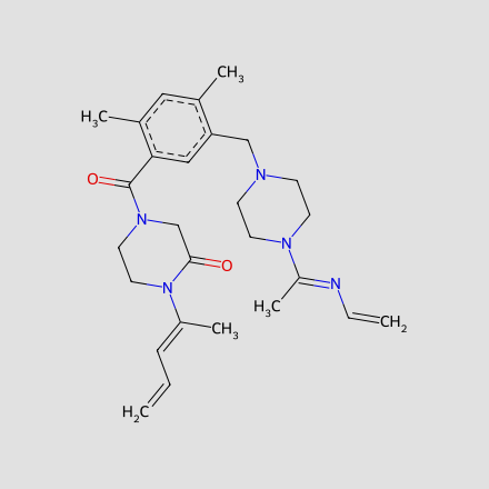 C=C/C=C(\C)N1CCN(C(=O)c2cc(CN3CCN(/C(C)=N/C=C)CC3)c(C)cc2C)CC1=O